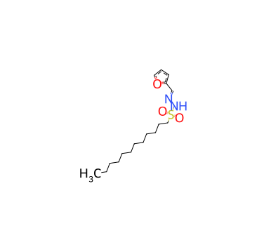 CCCCCCCCCCCCS(=O)(=O)NN=Cc1ccco1